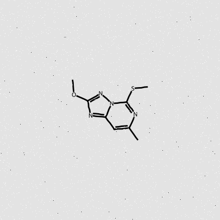 COc1nc2cc(C)nc(SC)n2n1